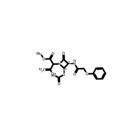 C=C(C)C(C(=O)OC(C)(C)C)N1C(=O)[C@@H](NC(=O)COc2ccccc2)[C@H]1SC(=O)C(C)C